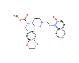 CC(C)(C)OC(=O)N(Cc1ccc2c(c1)OCCO2)C1CCN(CCn2c(=O)ccc3cnccc32)CC1